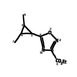 CCOC(=O)c1noc(C2C(C)C2C)n1